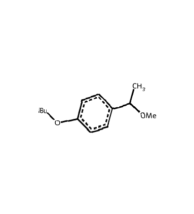 CCC(C)Oc1ccc(C(C)OC)cc1